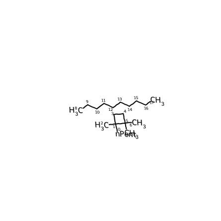 CCCCCC1(C)CCC1(C)C.CCCCCCCCCC